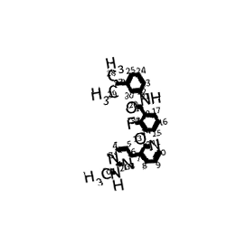 CNc1nccc(-c2cccnc2Oc2cccc(C(=O)Nc3cccc(C(C)C)c3)c2F)n1